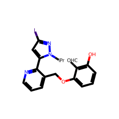 CC(C)n1nc(I)cc1-c1ncccc1COc1cccc(O)c1C=O